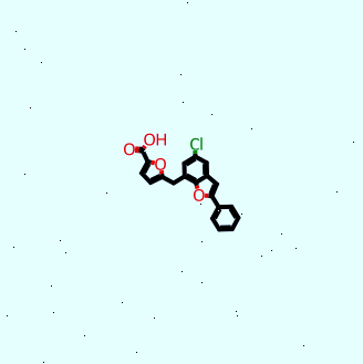 O=C(O)c1ccc(Cc2cc(Cl)cc3cc(-c4ccccc4)oc23)o1